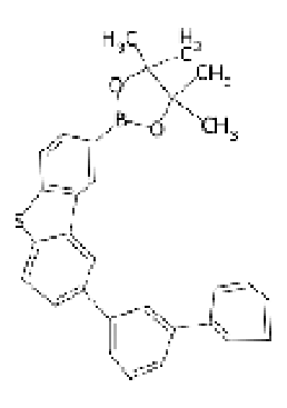 CC1(C)OB(c2ccc3sc4ccc(-c5cccc(-c6ccccc6)c5)cc4c3c2)OC1(C)C